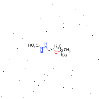 CC(C)(C)[Si](C)(C)OCCNNC(=O)O